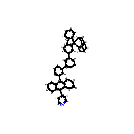 c1cc(-c2cccc(-c3c4ccccc4c(-c4ccncc4)c4ccccc34)c2)cc(-c2ccc3c(c2)C2(c4ccccc4-3)C3CC4CC(C3)CC2C4)c1